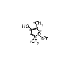 Cc1cc(C(C)C)c(C(F)(F)F)cc1O